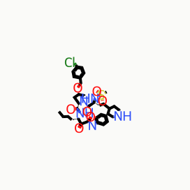 CCCC[C@H](NC(=O)[C@@H]1C[C@@H](OCc2ccc(Cl)cc2)CN1C(=O)[C@@H](CCC1CCNCC1)NS(C)(=O)=O)C(=O)c1nc2ccccc2o1